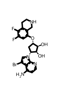 Nc1ccnc2c1c(Br)cn2[C@@H]1C[C@H](Oc2cc(F)c(F)c3c2CNCC3)[C@@H](O)[C@H]1O